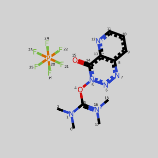 CN(C)C(On1nnc2cccnc2c1=O)=[N+](C)C.F[P-](F)(F)(F)(F)F